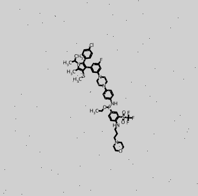 CCOP(Nc1ccc(N2CCN(c3cc(F)cc(-c4c(SC)c(C)n(C(C)C)c4-c4ccc(Cl)cc4)c3)CC2)cc1)c1ccc(NCCCN2CCOCC2)c(S(=O)(=O)C(F)(F)F)c1